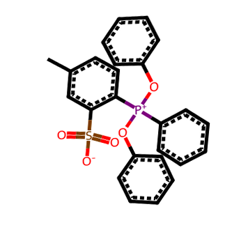 Cc1ccc([P+](Oc2ccccc2)(Oc2ccccc2)c2ccccc2)c(S(=O)(=O)[O-])c1